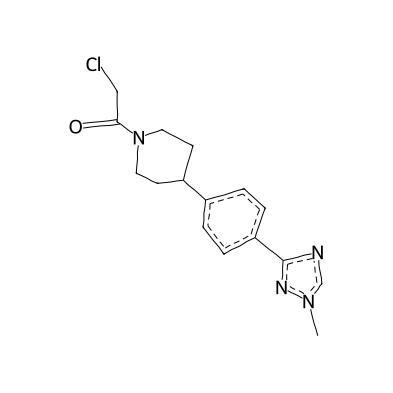 Cn1cnc(-c2ccc(C3CCN(C(=O)CCl)CC3)cc2)n1